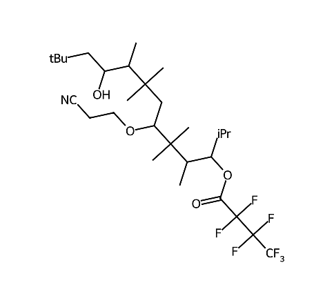 CC(C)C(OC(=O)C(F)(F)C(F)(F)C(F)(F)F)C(C)C(C)(C)C(CC(C)(C)C(C)C(O)CC(C)(C)C)OCCC#N